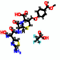 COC(=O)c1ccc(OCC2=C(C(=O)O)N3C(=O)C(NC(=O)/C(=N\O)c4csc(N)n4)[C@H]3SC2)cc1.O=C(O)C(F)(F)F